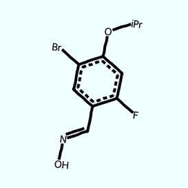 CC(C)Oc1cc(F)c(C=NO)cc1Br